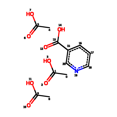 CC(=O)O.CC(=O)O.CC(=O)O.O=C(O)c1cccnc1